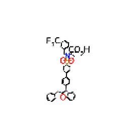 CC(C(=O)O)N(Cc1cccc(C(F)(F)F)c1)S(=O)(=O)c1ccc(-c2ccc(-c3c(Cc4ccccc4)oc4ccccc34)cc2)cc1